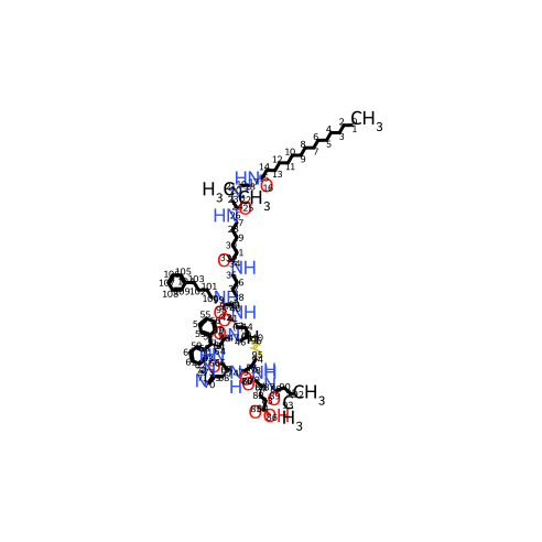 CCCCCCCCCCCCCCCC(=O)NCC[N+](C)(C)CC(=O)NCCCCCC(=O)NCCCC[C@H](NC(=O)[C@@H]1C[C@H]2CN1C(=O)[C@H](C(c1ccccc1)c1ccccc1)NC(=O)[C@H](Cc1cnc[nH]1)NC(=O)[C@@H](NC(=O)[C@H](CCC(=O)O)NC(=O)CC(C)C)CSS2)C(=O)NCCCCc1ccccc1